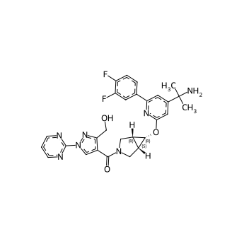 CC(C)(N)c1cc(O[C@@H]2[C@@H]3CN(C(=O)c4cn(-c5ncccn5)nc4CO)C[C@@H]32)nc(-c2ccc(F)c(F)c2)c1